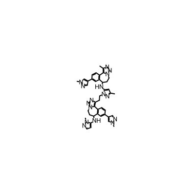 Cc1cc(NC2CCn3nnc(C)c3-c3ccc(-c4cnn(C)c4)cc32)n(CCc2nnn3c2-c2ccc(-c4cnn(C)c4)cc2C(Nc2ccnn2C)CC3)n1